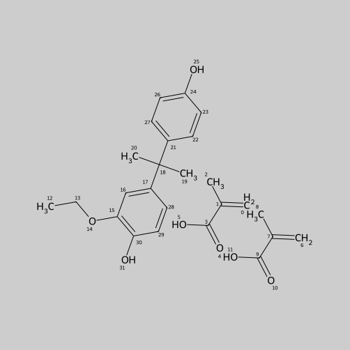 C=C(C)C(=O)O.C=C(C)C(=O)O.CCOc1cc(C(C)(C)c2ccc(O)cc2)ccc1O